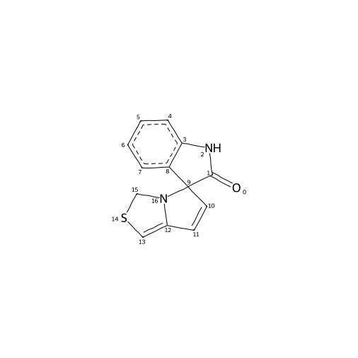 O=C1Nc2ccccc2C12C=CC1=CSCN12